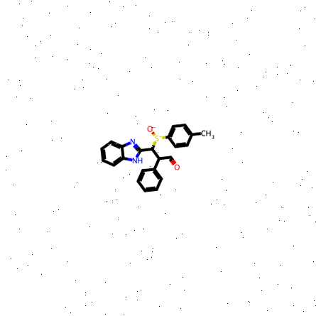 Cc1ccc([S+]([O-])C(c2nc3ccccc3[nH]2)C(C=O)c2ccccc2)cc1